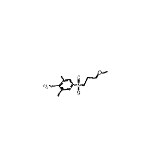 COCCCS(=O)(=O)c1cc(C)c(N)c(C)c1